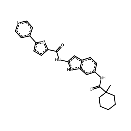 CC1(C(=O)Nc2ccc3cc(NC(=O)c4ccc(-c5ccncc5)s4)[nH]c3c2)CCCCC1